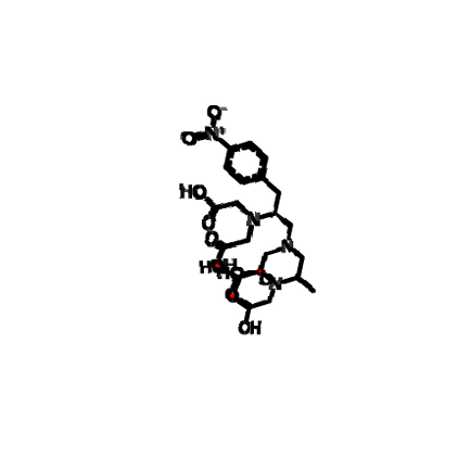 CC(CN(CC(=O)O)C[C@H](Cc1ccc([N+](=O)[O-])cc1)N(CC(=O)O)CC(=O)O)N(CC(=O)O)CC(=O)O